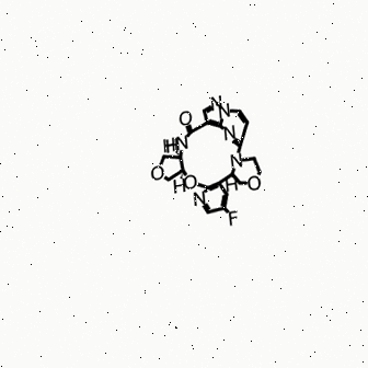 O=C1N[C@@H]2COC[C@@H]2Oc2ncc(F)cc2[C@@H]2COCCN2c2ccn3ncc1c3n2